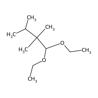 CCOC(OCC)C(C)(C)C(C)C